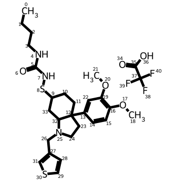 CCCCNC(=O)NSC1CCC2(c3ccc(OC)c(OC)c3)CCN(Cc3ccsc3)C2C1.O=C(O)C(F)(F)F